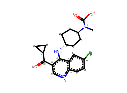 CN(C(=O)O)[C@H]1CC[C@H](Nc2c(C(=O)C3CC3)cnc3ccc(Br)cc23)CC1